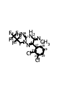 C/N=C(N)\C(=N/N(C=N)CC(F)(F)C(F)(F)F)c1cccc(Cl)c1Cl